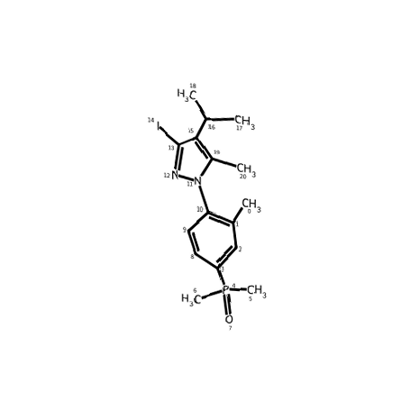 Cc1cc(P(C)(C)=O)ccc1-n1nc(I)c(C(C)C)c1C